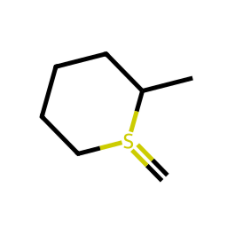 C=S1CCCCC1C